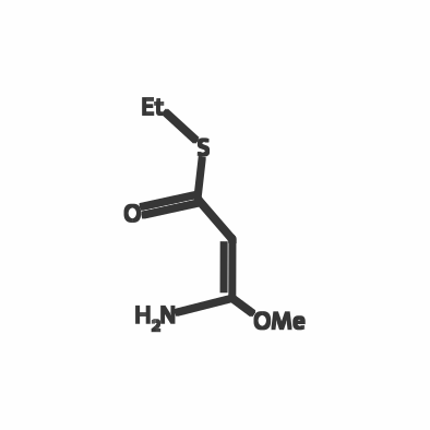 CCSC(=O)C=C(N)OC